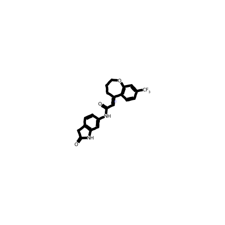 O=C(/C=C1\CCCOc2cc(C(F)(F)F)ccc21)Nc1ccc2c(c1)NC(=O)C2